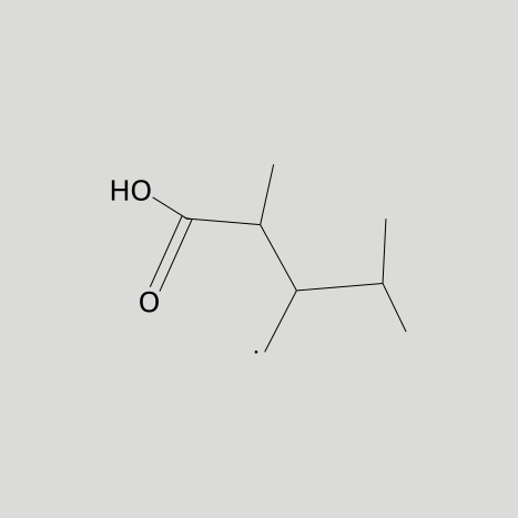 [CH2]C(C(C)C)C(C)C(=O)O